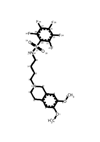 COc1cc2c(cc1OC)CN(CCCCNS(=O)(=O)c1c(F)c(F)c(F)c(F)c1F)CC2